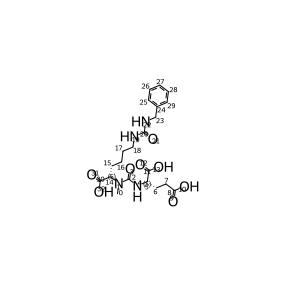 CN(C(=O)N[C@@H](CCC(=O)O)C(=O)O)[C@@H](CCCCNC(=O)NCc1ccccc1)C(=O)O